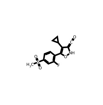 CS(=O)(=O)c1ccc(C2=C(C3CC3)C(=C=O)NO2)c(F)c1